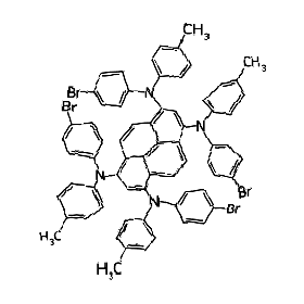 Cc1ccc(N(c2ccc(Br)cc2)c2cc(N(c3ccc(C)cc3)c3ccc(Br)cc3)c3ccc4c(N(c5ccc(C)cc5)c5ccc(Br)cc5)cc(N(c5ccc(C)cc5)c5ccc(Br)cc5)c5ccc2c3c54)cc1